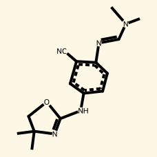 CN(C)C=Nc1ccc(NC2=NC(C)(C)CO2)cc1C#N